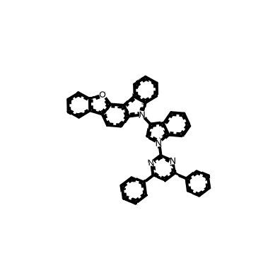 c1ccc(-c2cc(-c3ccccc3)nc(-n3cc(-n4c5ccccc5c5c6oc7ccccc7c6ccc54)c4ccccc43)n2)cc1